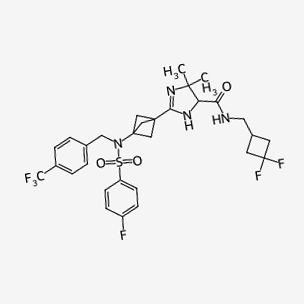 CC1(C)N=C(C23CC(N(Cc4ccc(C(F)(F)F)cc4)S(=O)(=O)c4ccc(F)cc4)(C2)C3)NC1C(=O)NCC1CC(F)(F)C1